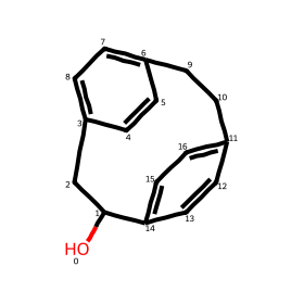 OC1Cc2ccc(cc2)CCc2ccc1cc2